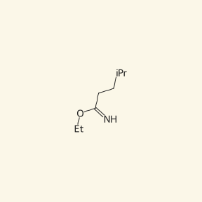 CCOC(=N)CCC(C)C